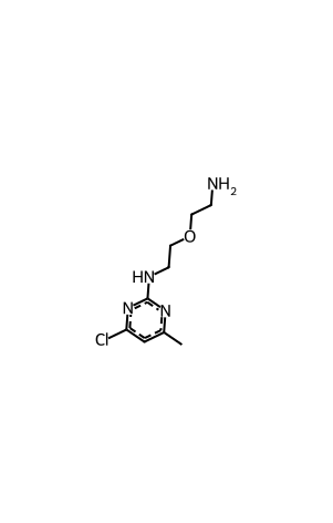 Cc1cc(Cl)nc(NCCOCCN)n1